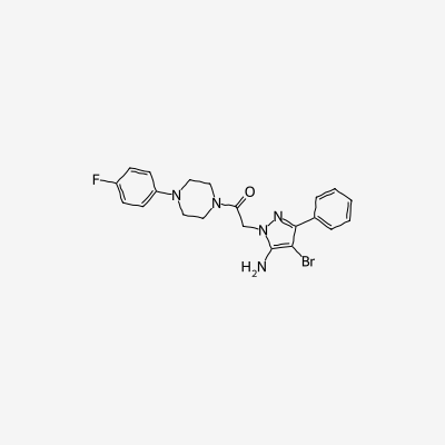 Nc1c(Br)c(-c2ccccc2)nn1CC(=O)N1CCN(c2ccc(F)cc2)CC1